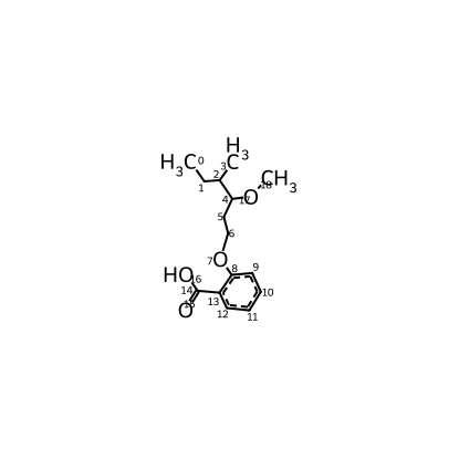 CCC(C)C(CCOc1ccccc1C(=O)O)OC